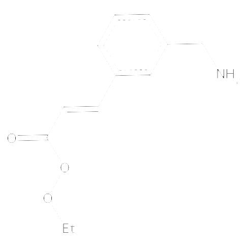 CCOOC(=O)C=Cc1cccc(CN)c1